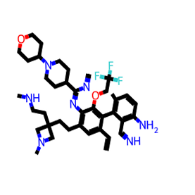 C=Cc1cc(CCC2(CCNC)CN(C)C2)c(/N=C(\N=C)C2CCN(C3CCOCC3)CC2)c(OCC(F)(F)F)c1-c1c(C)ccc(N)c1C=N